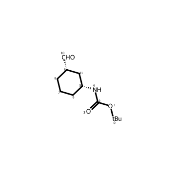 CC(C)(C)OC(=O)N[C@@H]1CCC[C@H](C=O)C1